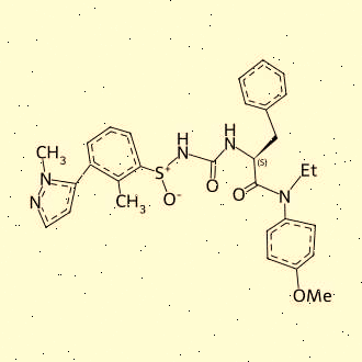 CCN(C(=O)[C@H](Cc1ccccc1)NC(=O)N[S+]([O-])c1cccc(-c2ccnn2C)c1C)c1ccc(OC)cc1